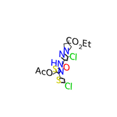 CCOC(=O)C1CCN(c2ncc(C(=O)Nc3nc(-c4cc(Cl)cs4)c(COC(C)=O)s3)cc2Cl)CC1